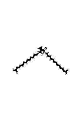 CC(C)CCCCCCCCCCCCOC(=O)C1(C(=O)OCCCCCCCCCCCCC(C)C)CC1